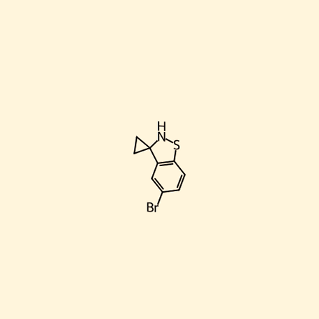 Brc1ccc2c(c1)C1(CC1)NS2